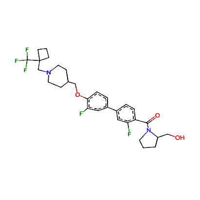 O=C(c1ccc(-c2ccc(OCC3CCN(CC4(C(F)(F)F)CCC4)CC3)c(F)c2)cc1F)N1CCCC1CO